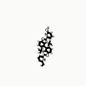 CCc1cccc([C@@H]2Oc3cccc(-c4cccc5c4[P@@](C(C)(C)C)[C@H](c4cccc(OC)n4)O5)c3[P@@]2C(C)(C)C)n1